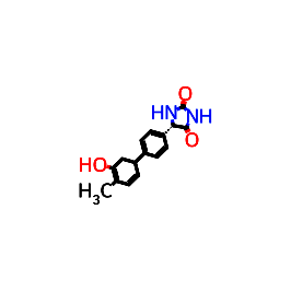 CC1=C(O)CC(c2ccc([C@@H]3NC(=O)NC3=O)cc2)C=C1